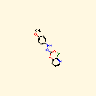 COc1ccc(NNC(=O)Oc2cccnc2Br)cc1